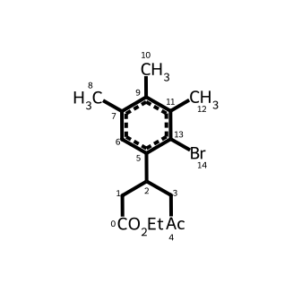 CCOC(=O)CC(CC(C)=O)c1cc(C)c(C)c(C)c1Br